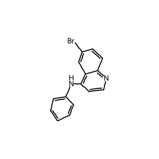 Brc1ccc2nccc(Nc3ccccc3)c2c1